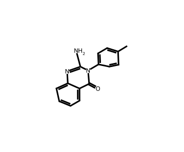 Cc1ccc(-n2c(N)nc3ccccc3c2=O)cc1